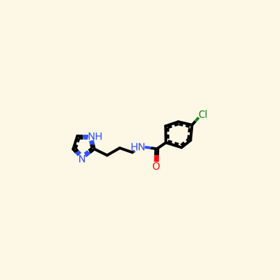 O=C(NCCCc1ncc[nH]1)c1ccc(Cl)cc1